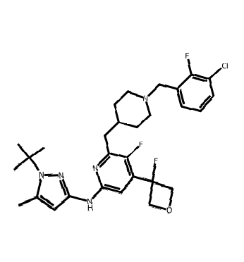 Cc1cc(Nc2cc(C3(F)COC3)c(F)c(CC3CCN(Cc4cccc(Cl)c4F)CC3)n2)nn1C(C)(C)C